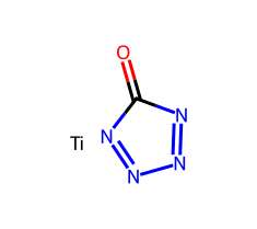 O=C1N=NN=N1.[Ti]